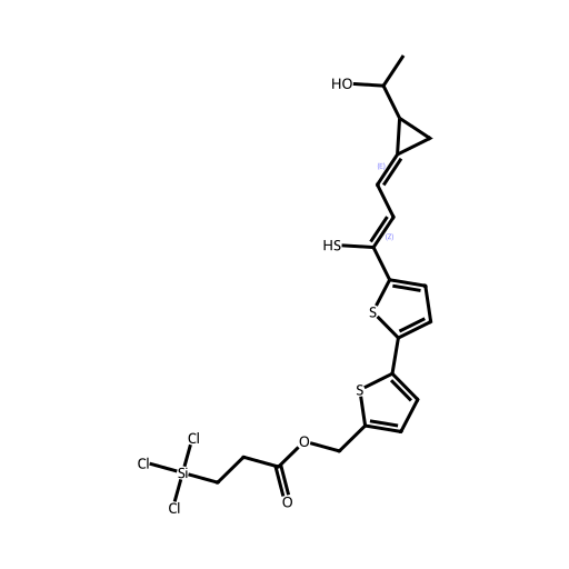 CC(O)C1C/C1=C\C=C(/S)c1ccc(-c2ccc(COC(=O)CC[Si](Cl)(Cl)Cl)s2)s1